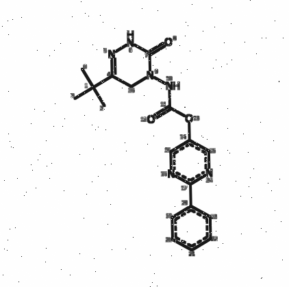 CC(C)(C)C1=NNC(=O)N(NC(=O)Oc2cnc(-c3ccccc3)nc2)C1